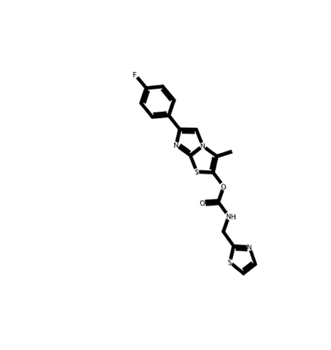 Cc1c(OC(=O)NCc2nccs2)sc2nc(-c3ccc(F)cc3)cn12